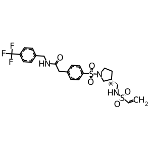 C=CS(=O)(=O)NC[C@H]1CCN(S(=O)(=O)c2ccc(CC(=O)NCc3ccc(C(F)(F)F)cc3)cc2)C1